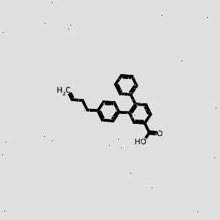 C=CCCc1ccc(-c2cc(C(=O)O)ccc2-c2ccccc2)cc1